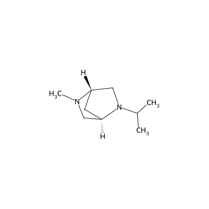 CC(C)N1C[C@@H]2C[C@@H]1CN2C